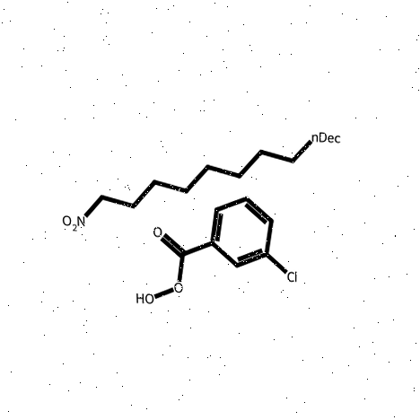 CCCCCCCCCCCCCCCCCC[N+](=O)[O-].O=C(OO)c1cccc(Cl)c1